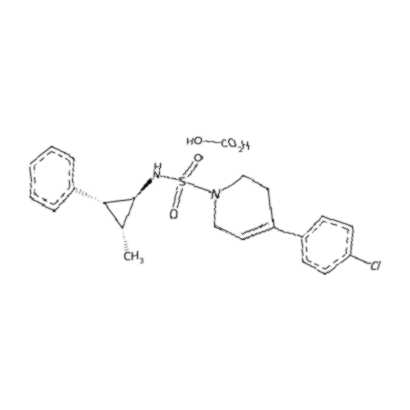 C[C@H]1[C@H](NS(=O)(=O)N2CC=C(c3ccc(Cl)cc3)CC2)[C@H]1c1ccccc1.O=C(O)O